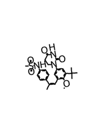 COc1c(C=C(C)c2ccc(NS(C)(=O)=O)cc2)cc(N2CCC(=O)NC2=O)cc1C(C)(C)C